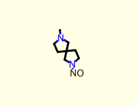 CN1CCC2(CCN(N=O)C2)C1